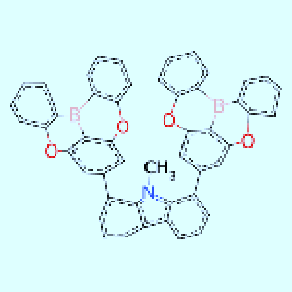 Cn1c2c(-c3cc4c5c(c3)Oc3ccccc3B5c3ccccc3O4)cccc2c2cccc(-c3cc4c5c(c3)Oc3ccccc3B5c3ccccc3O4)c21